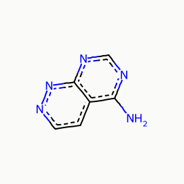 Nc1ncnc2nnccc12